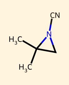 CC1(C)CN1C#N